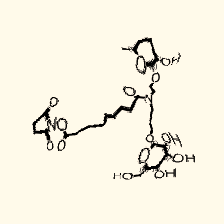 C[C@H]1CC[C@H](O)[C@H](OCCN(CCCO[C@H]2O[C@H](CO)[C@@H](O)[C@H](O)[C@@H]2O)C(=O)CCCCCCCC(=O)ON2C(=O)CCC2=O)O1